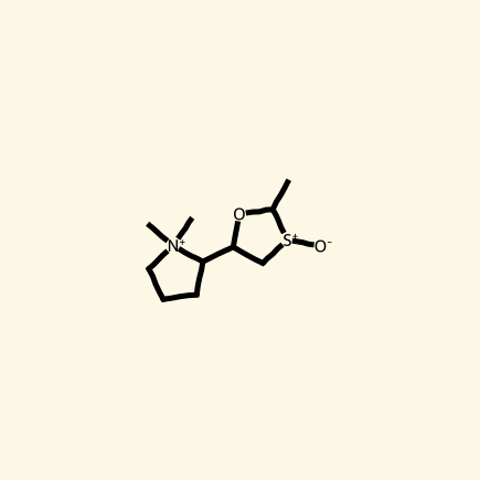 CC1OC(C2CCC[N+]2(C)C)C[S+]1[O-]